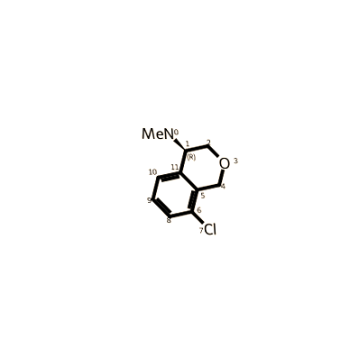 CN[C@H]1COCc2c(Cl)cccc21